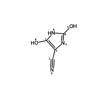 N#Cc1nc(O)[nH]c1O